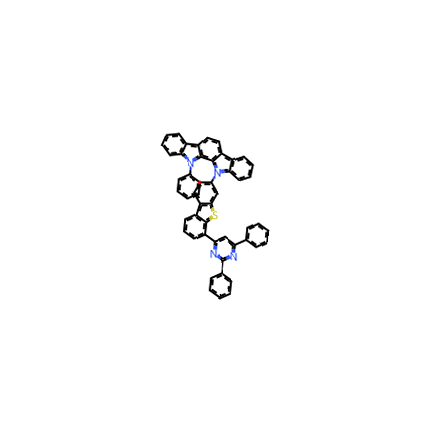 c1ccc(-c2cc(-c3cccc4c3sc3cc(-n5c6ccccc6c6ccc7c8ccccc8n(-c8ccccc8)c7c65)ccc34)nc(-c3ccccc3)n2)cc1